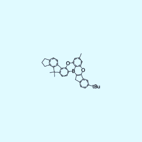 Cc1cc2c3c(c1)Oc1c(ccc4c1-c1ccc5c(c1C4(C)C)CCC5)B3C1=C(O2)c2cc(C(C)(C)C)ccc2C1